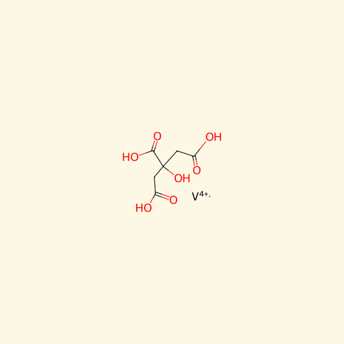 O=C(O)CC(O)(CC(=O)O)C(=O)O.[V+4]